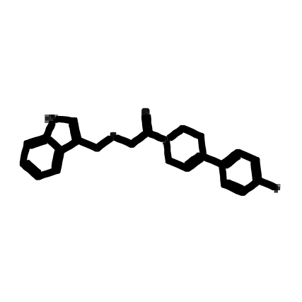 O=C(CSCc1c[nH]c2ccccc12)N1CC=C(c2ccc(F)cc2)CC1